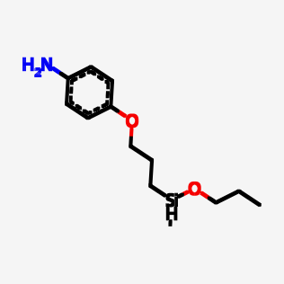 CCCO[SiH](C)CCCOc1ccc(N)cc1